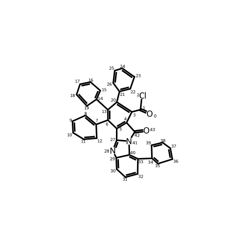 O=C(Cl)c1c2c(c(-c3ccccc3)c(-c3ccccc3)c1-c1ccccc1)-c1nc3cccc(-c4ccccc4)c3n1C2=O